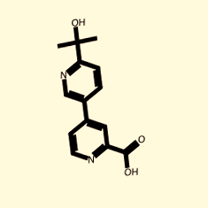 CC(C)(O)c1ccc(-c2ccnc(C(=O)O)c2)cn1